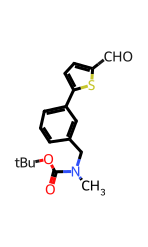 CN(Cc1cccc(-c2ccc(C=O)s2)c1)C(=O)OC(C)(C)C